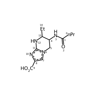 CCCC(=O)NC1Cn2cc(C(=O)O)nc2NC1CC